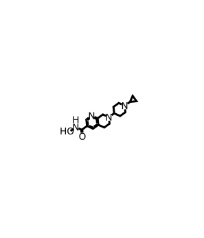 O=C(NO)c1cnc2c(c1)CCN(C1CCN(C3CC3)CC1)C2